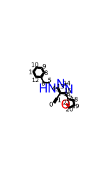 C#Cc1c(NCCc2ccccc2)ncnc1-c1ccco1